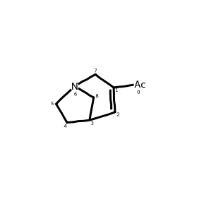 CC(=O)C1=CC2CCN(C1)C2